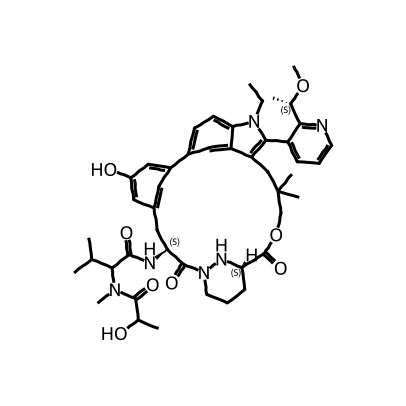 CCn1c(-c2cccnc2[C@H](C)OC)c2c3cc(ccc31)-c1cc(O)cc(c1)C[C@H](NC(=O)C(C(C)C)N(C)C(=O)C(C)O)C(=O)N1CCC[C@H](N1)C(=O)OCC(C)(C)C2